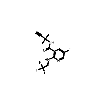 C#CC(C)(C)NC(=O)c1cc(F)cnc1NCC(F)(F)F